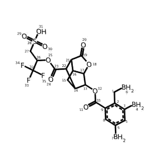 BCc1c(B)cc(B)cc1C(=O)OC1C2CC3C1OC(=O)C3C2C(=O)OC(CS(=O)(=O)O)C(F)(F)F